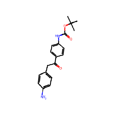 CC(C)(C)OC(=O)Nc1ccc(C(=O)Cc2ccc(N)cc2)cc1